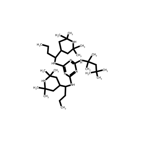 CCCC(Nc1nc(NC(CCC)C2CC(C)(C)NC(C)(C)C2)nc(NC(C)(C)CC(C)(C)C)n1)C1CC(C)(C)NC(C)(C)C1